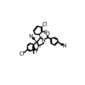 CC(C)(C)C[C@@H]1CN(C(=O)c2ccc(C#N)cc2)[C@H](C2CC=CC(Cl)=C2F)[C@@]1(C#N)c1ccc(Cl)cc1F